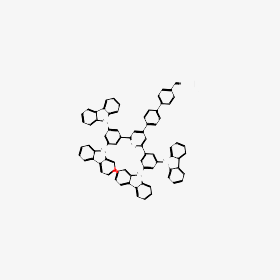 C=Cc1ccc(-c2ccc(-c3cc(-c4cc(-n5c6ccccc6c6ccccc65)cc(-n5c6ccccc6c6ccccc65)c4)nc(-c4cc(-n5c6ccccc6c6ccccc65)cc(-n5c6ccccc6c6ccccc65)c4)c3)cc2)cc1